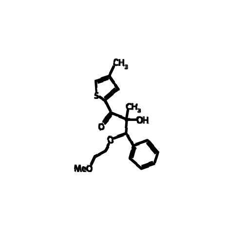 COCCOC(c1ccccc1)C(C)(O)C(=O)c1cc(C)cs1